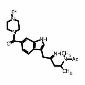 CC(=O)N(C)C(C)CC(=N)Cc1c[nH]c2cc(C(=O)N3CCN(C(C)C)CC3)ccc12